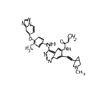 C=CC(=O)Nc1cc2c(Nc3ccc(Oc4ccn5ncnc5c4)c(C)c3)ncnc2cc1C#CC12CC1CN(C)C2